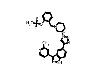 Cc1cc(-c2n[nH]c3ccc(-c4cn([C@@H]5CCCN(Cc6ccccc6OC(C)(F)F)C5)nn4)cc23)ccn1